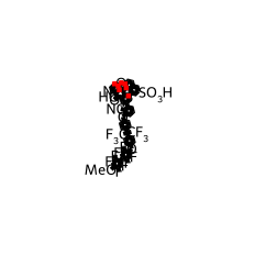 COc1c(F)c(F)c(-c2c(F)c(F)c(Oc3ccc(C(c4ccc(Oc5cccc(-c6ccc(-c7cccc(C)c7C#N)c(C(=O)c7cccc(Oc8ccc9cc(S(=O)(=O)O)cc(S(=O)(=O)O)c9c8)c7)c6)c5C#N)cc4)(C(F)(F)F)C(F)(F)F)cc3)c(F)c2F)c(F)c1F